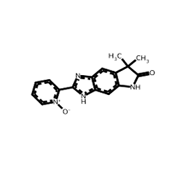 CC1(C)C(=O)Nc2cc3[nH]c(-c4cccc[n+]4[O-])nc3cc21